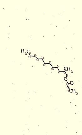 C=CC(=O)OCC(C)CCCCCCCCCC